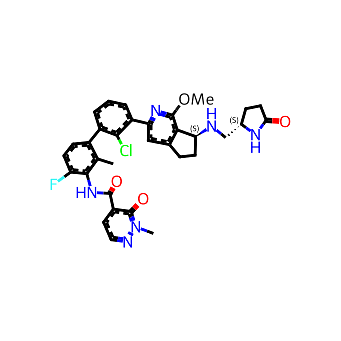 COc1nc(-c2cccc(-c3ccc(F)c(NC(=O)c4ccnn(C)c4=O)c3C)c2Cl)cc2c1[C@@H](NC[C@@H]1CCC(=O)N1)CC2